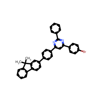 CC1(C)c2ccccc2-c2ccc(-c3ccc(-c4cc(-c5ccc(Br)cc5)nc(-c5ccccc5)n4)cc3)cc21